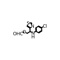 O=COCC(Nc1ccc(Cl)cc1)c1cscn1